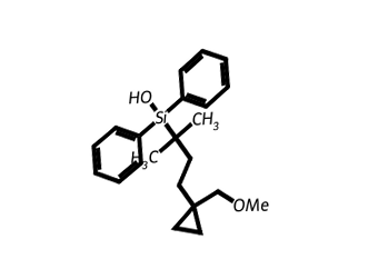 COCC1(CCC(C)(C)[Si](O)(c2ccccc2)c2ccccc2)CC1